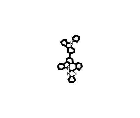 c1ccc(-n2c3ccccc3c3cc(-c4cc5c6c(c4)c4ccccc4n6-c4nc6ccccc6nc4-c4ccccc4-5)ccc32)cc1